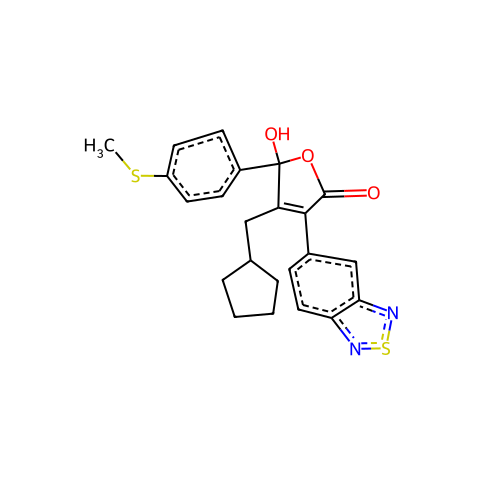 CSc1ccc(C2(O)OC(=O)C(c3ccc4nsnc4c3)=C2CC2CCCC2)cc1